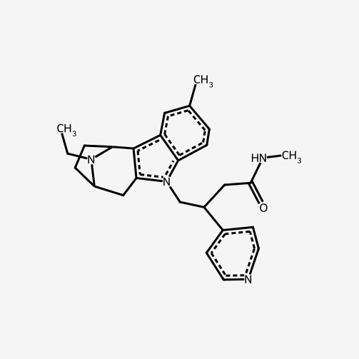 CCN1C2CCC1c1c(n(CC(CC(=O)NC)c3ccncc3)c3ccc(C)cc13)C2